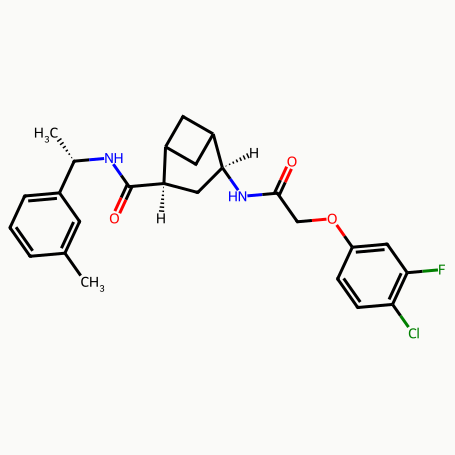 Cc1cccc([C@H](C)NC(=O)[C@@H]2C[C@H](NC(=O)COc3ccc(Cl)c(F)c3)C3CC2C3)c1